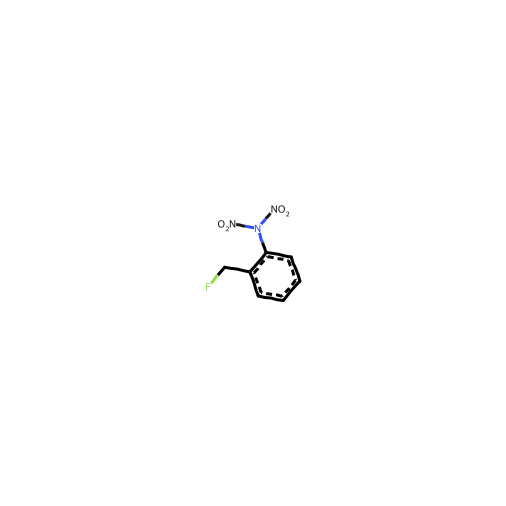 O=[N+]([O-])N(c1ccccc1CF)[N+](=O)[O-]